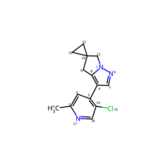 Cc1cc(-c2cnn3c2CC2(CC2)C3)c(Cl)cn1